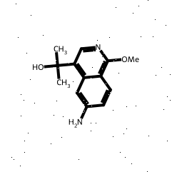 COc1ncc(C(C)(C)O)c2cc(N)ccc12